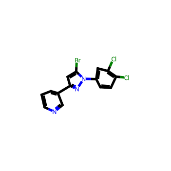 Clc1ccc(-n2nc(-c3cccnc3)cc2Br)cc1Cl